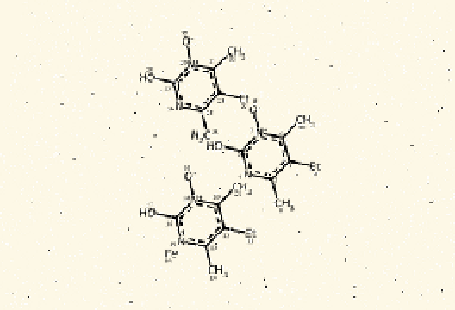 CCc1c(C)nc(O)[n+]([O-])c1C.CCc1c(C)nc(O)[n+]([O-])c1C.CCc1c(C)nc(O)[n+]([O-])c1C.[Fe]